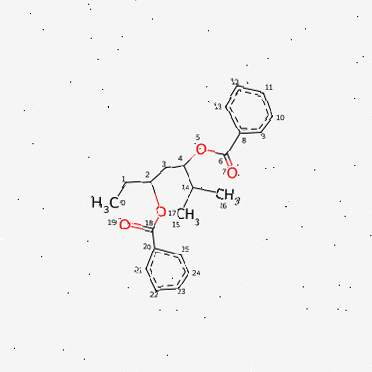 CCC(CC(OC(=O)c1ccccc1)C(C)C)OC(=O)c1ccccc1